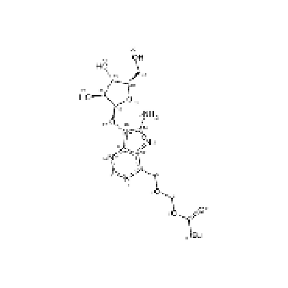 CC(C)(C)C(=O)OCOCc1ncnc2c1nc(N)n2O[C@@H]1O[C@H](CO)[C@@H](O)[C@@H]1O